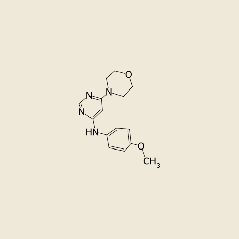 COc1ccc(Nc2cc(N3CCOCC3)ncn2)cc1